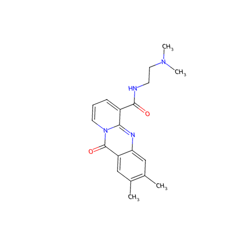 Cc1cc2nc3c(C(=O)NCCN(C)C)cccn3c(=O)c2cc1C